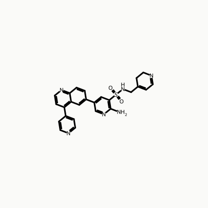 Nc1ncc(-c2ccc3nccc(-c4ccncc4)c3c2)cc1S(=O)(=O)NCC1=CC=NCC1